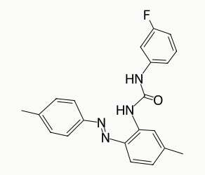 Cc1ccc(/N=N/c2ccc(C)cc2NC(=O)Nc2cccc(F)c2)cc1